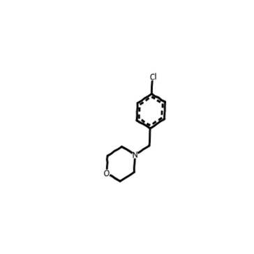 Clc1ccc(CN2CCOCC2)cc1